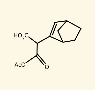 CC(=O)OC(=O)C(C(=O)O)C1=CC2CCC1C2